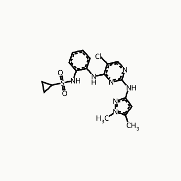 Cc1cc(Nc2ncc(Cl)c(Nc3ccccc3NS(=O)(=O)C3CC3)n2)nn1C